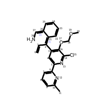 C=C/C(c1cc(-c2cccc(C)n2)nc(Cl)c1OCOC)=c1/cccc/c1=C/N